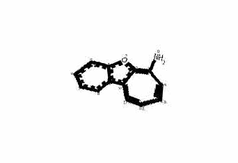 NC1=c2oc3ccccc3c2=C=CC=C1